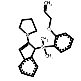 C=CCOc1ccccc1[Si](C)(C)C1C(N2CCCC2)=Cc2ccccc21